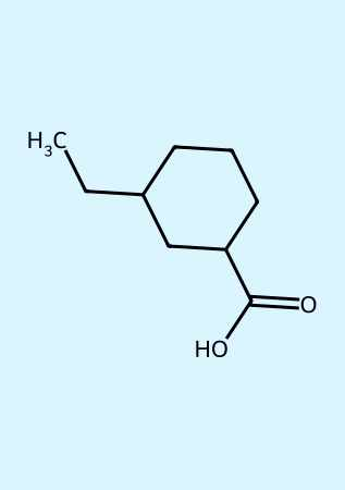 CCC1CCCC(C(=O)O)C1